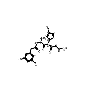 C[C@H](NC(=O)Cc1cc(F)cc(F)c1)C(=O)N(C(=O)CNC(C)(C)C)c1cc(Br)cs1